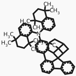 CC1(C)CCC(C)(C)c2c(N(c3ccc(-c4cccc5c4C4(c6ccccc6-5)C5CC6CC7CC4C75C6)cc3)c3cccc4c3C(C)(C)CCC4(C)C)cccc21